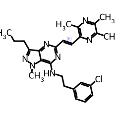 CCCc1nn(C)c2c(NCCc3cccc(Cl)c3)nc(/C=C/c3nc(C)c(C)nc3C)nc12